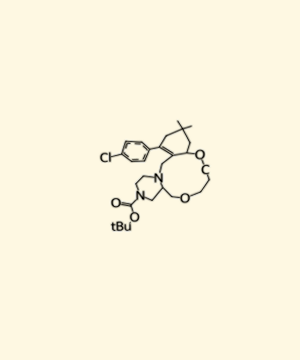 CC1(C)CC(c2ccc(Cl)cc2)=C2CN3CCN(C(=O)OC(C)(C)C)CC3COCCCOC2C1